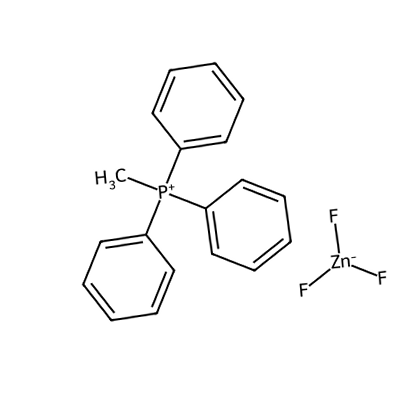 C[P+](c1ccccc1)(c1ccccc1)c1ccccc1.[F][Zn-]([F])[F]